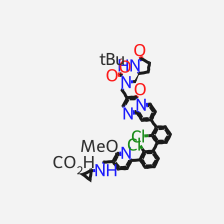 COc1nc(-c2cccc(-c3cccc(-c4ccn5c(=O)c(CN(C[C@@H]6CCC(=O)N6)C(=O)OC(C)(C)C)cnc5c4)c3Cl)c2Cl)ccc1CNC1(C(=O)O)CC1